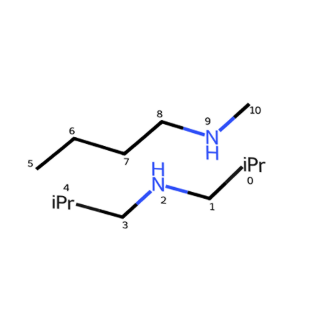 CC(C)CNCC(C)C.CCCCNC